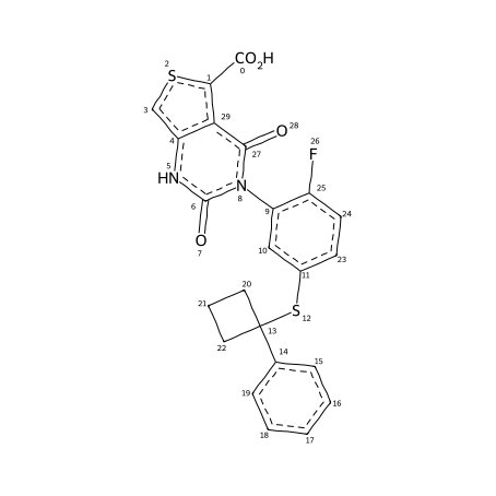 O=C(O)c1scc2[nH]c(=O)n(-c3cc(SC4(c5ccccc5)CCC4)ccc3F)c(=O)c12